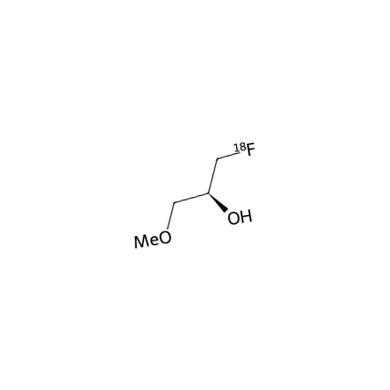 COC[C@H](O)C[18F]